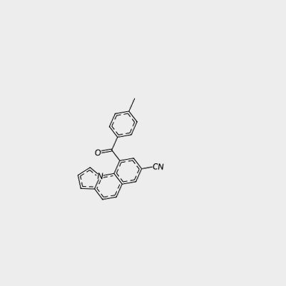 Cc1ccc(C(=O)c2cc(C#N)cc3ccc4cccn4c23)cc1